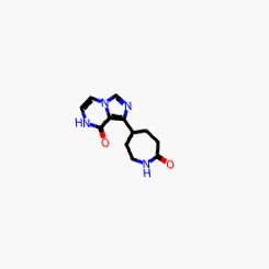 O=C1CCC(c2ncn3cc[nH]c(=O)c23)CCN1